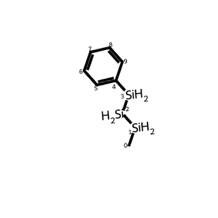 C[SiH2][SiH2][SiH2]c1ccccc1